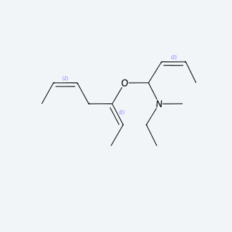 C/C=C\C/C(=C\C)OC(/C=C\C)N(C)CC